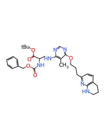 Cc1c(NCC(NC(=O)OCc2ccccc2)C(=O)OC(C)(C)C)ncnc1OCCCc1ccc2c(n1)NCCC2